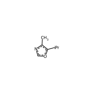 Cc1ncoc1C(C)C